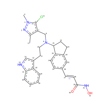 Cc1nn(C)c(Cl)c1CN(CCc1c[nH]c2ccccc12)C1CCc2cc(/C=C/C(=O)NO)ccc21